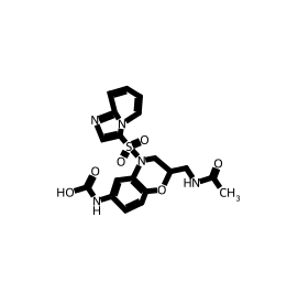 CC(=O)NCC1CN(S(=O)(=O)c2cnc3ccccn23)c2cc(NC(=O)O)ccc2O1